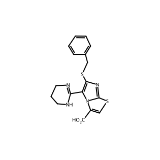 O=C(O)c1csc2nc(SCc3ccccc3)c(C3=NCCCN3)n12